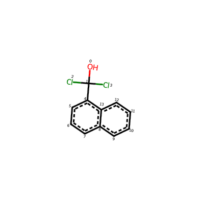 OC(Cl)(Cl)c1cccc2ccccc12